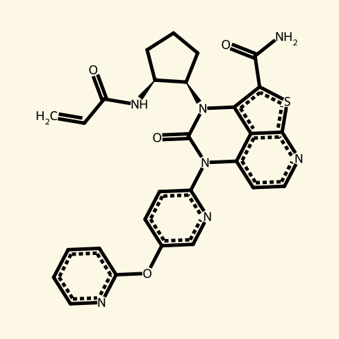 C=CC(=O)N[C@H]1CCC[C@H]1N1C(=O)N(c2ccc(Oc3ccccn3)cn2)c2ccnc3sc(C(N)=O)c1c23